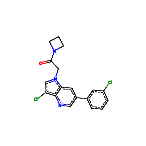 O=C(Cn1cc(Cl)c2ncc(-c3cccc(Cl)c3)cc21)N1CCC1